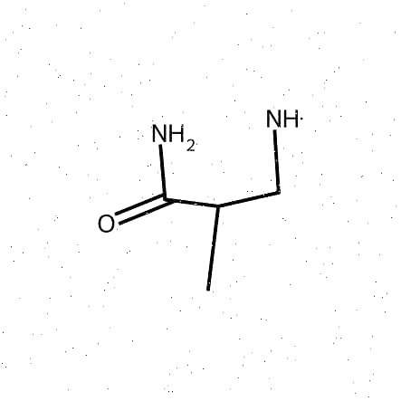 CC(C[NH])C(N)=O